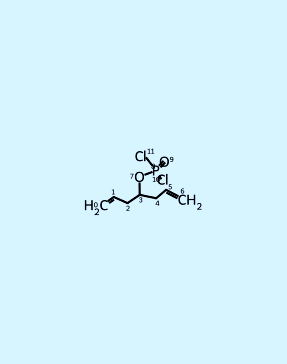 C=CCC(CC=C)OP(=O)(Cl)Cl